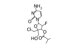 CC(C)C(=O)OC1C(F)C(n2ccc(N)nc2=O)OC1(CO)CCl